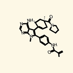 C=C(C)C(=O)Nc1ccc(-c2c(C3=CC[C@](C)(C(=O)N4CCCC4)CC3)c3c(N)ncnc3n2C)cc1